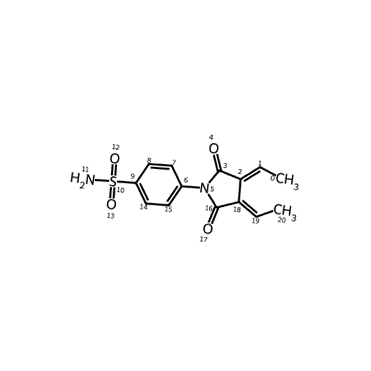 C/C=C1/C(=O)N(c2ccc(S(N)(=O)=O)cc2)C(=O)/C1=C/C